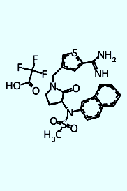 CS(=O)(=O)N(c1ccc2ccccc2c1)[C@H]1CCN(Cc2csc(C(=N)N)c2)C1=O.O=C(O)C(F)(F)F